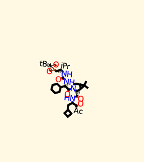 CC(=O)C(=O)C(CC1CCC1)NC(=O)[C@@H]1C2C(CN1C(=O)[C@@H](NC(=O)N[C@H](CS(=O)(=O)C(C)(C)C)C(C)C)C1CCCCC1)C2(C)C